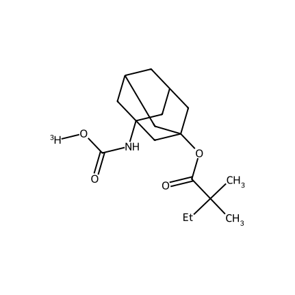 [3H]OC(=O)NC12CC3CC(C1)CC(OC(=O)C(C)(C)CC)(C3)C2